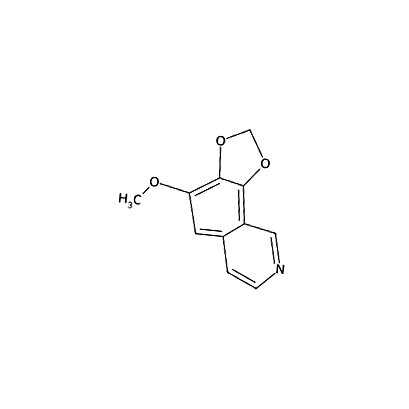 COc1cc2ccncc2c2c1OCO2